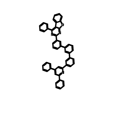 c1ccc(-c2cc(-c3ccccc3)nc(-c3cccc(-c4cccc(-c5cccc(-c6nc(-c7ccccc7)c7c(n6)oc6ccccc67)c5)c4)c3)c2)cc1